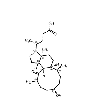 C[C@H](CCC(=O)O)[C@H]1CC[C@H]2[C@@H]3C(=O)[C@H](O)CC[C@H](O)CC[C@H](C)[C@H]3CC[C@]12C